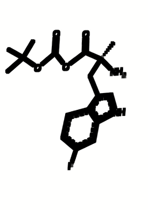 CC(C)(C)OC(=O)OC(=O)[C@@](C)(N)Cc1c[nH]c2cc(F)ccc12